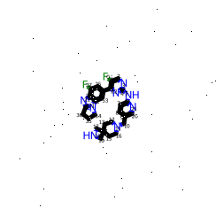 Fc1cnc(Nc2ccc(CN3CCC4(CC3)CNC4)cn2)nc1-c1cc(F)c2nc3n(c2c1)CCC3